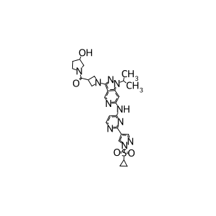 CC(C)n1nc(N2CC(C(=O)N3CCC(O)C3)C2)c2cnc(Nc3ccnc(-c4cnn(S(=O)(=O)C5CC5)c4)n3)cc21